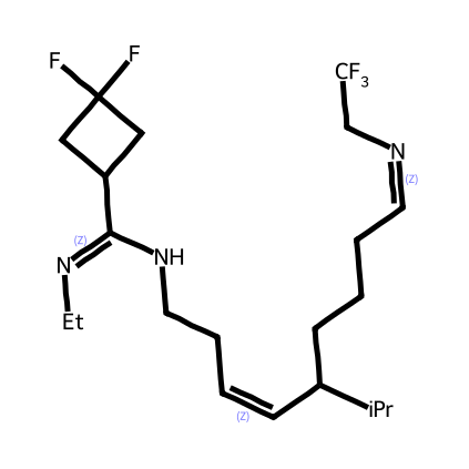 CC/N=C(\NCC/C=C\C(CCC/C=N\CC(F)(F)F)C(C)C)C1CC(F)(F)C1